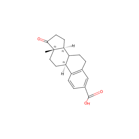 C[C@]12CC[C@@H]3c4ccc(C(=O)O)cc4CCC3[C@@H]1CCC2=O